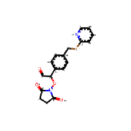 O=CC(ON1C(=O)CCC1=O)c1ccc(CSc2ccccn2)cc1